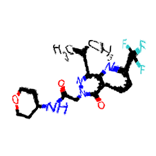 CC(C)c1nn(CC(=O)NC2CCOCC2)c(=O)c2ccc(C(F)(F)F)nc12